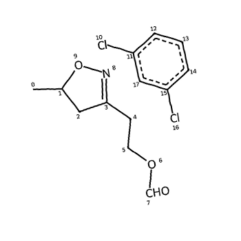 CC1CC(CCOC=O)=NO1.Clc1cccc(Cl)c1